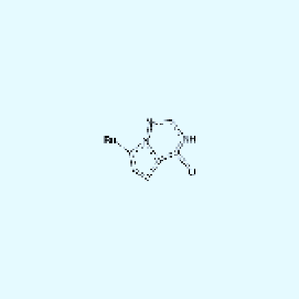 CCC(C)c1ccc2c(=O)[nH]cnn12